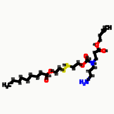 C#CCCOC(=O)CCN(CCCN)C(=O)OCCSSCCOC(=O)CCCCCCCC